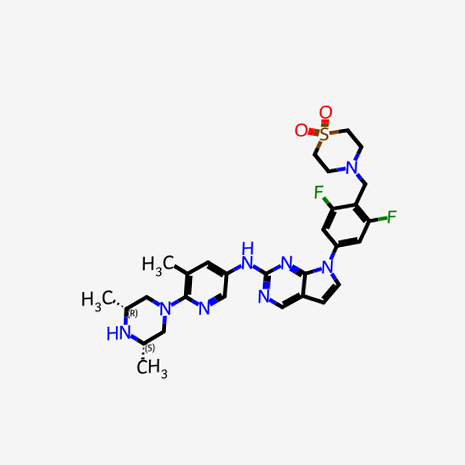 Cc1cc(Nc2ncc3ccn(-c4cc(F)c(CN5CCS(=O)(=O)CC5)c(F)c4)c3n2)cnc1N1C[C@@H](C)N[C@@H](C)C1